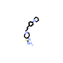 Nc1nc2c(s1)CCN(C/C=C/c1ccc(N3CCCCC3)cc1)CC2